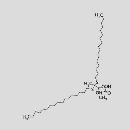 CCC(=O)O.CCCCCCCCCCCCCCCCCSC(C)(SCCCCCCCCCCCCCCCCC)C(=O)O